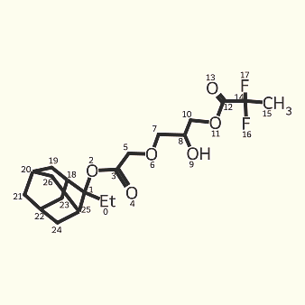 CCC1(OC(=O)COCC(O)COC(=O)C(C)(F)F)C2CC3CC(C2)CC1C3